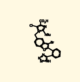 CCCCc1nc(C(=O)O)c(Cl)n1Cc1ccc2oc(-c3ccccc3-c3nnn[nH]3)c(Br)c2c1